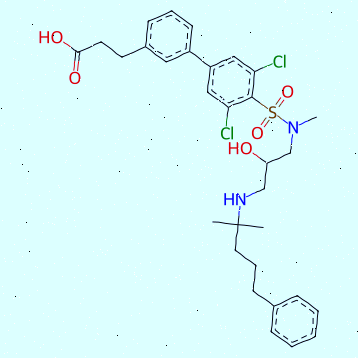 CN(CC(O)CNC(C)(C)CCCc1ccccc1)S(=O)(=O)c1c(Cl)cc(-c2cccc(CCC(=O)O)c2)cc1Cl